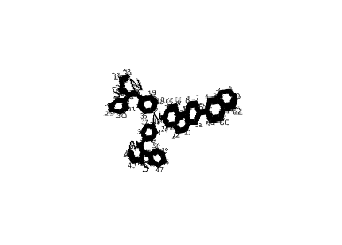 c1ccc2cc(-c3ccc4c(ccc5cc(N(c6ccc(-c7nccc8sc9ccccc9c78)cc6)c6ccc(-c7nccc8sc9ccccc9c78)cc6)ccc54)c3)ccc2c1